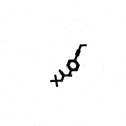 CCC#Cc1ccc(NC(=O)OC(C)(C)C)nc1